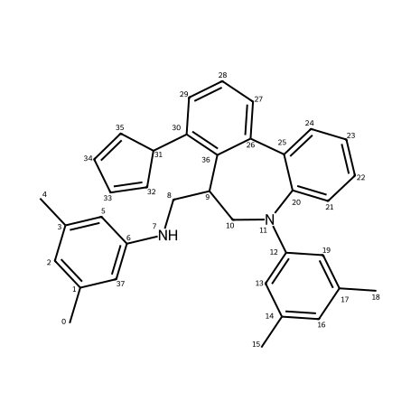 Cc1cc(C)cc(NCC2CN(c3cc(C)cc(C)c3)c3ccccc3-c3cccc(C4C=CC=C4)c32)c1